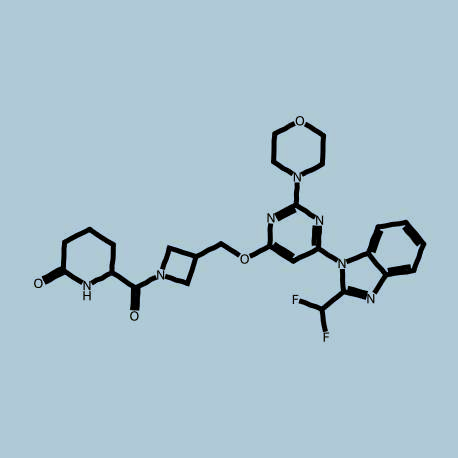 O=C1CCCC(C(=O)N2CC(COc3cc(-n4c(C(F)F)nc5ccccc54)nc(N4CCOCC4)n3)C2)N1